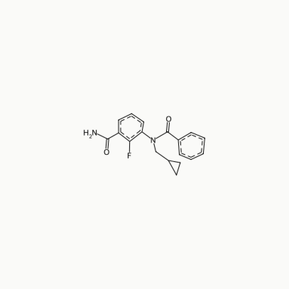 NC(=O)c1cccc(N(CC2CC2)C(=O)c2ccccc2)c1F